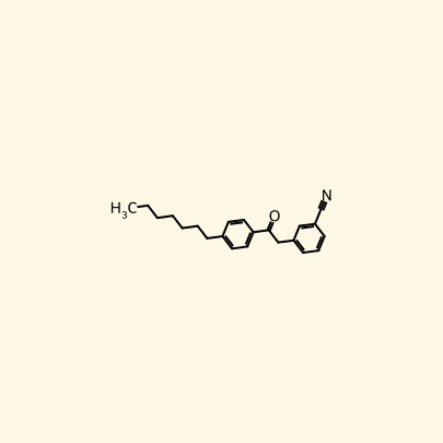 CCCCCCCc1ccc(C(=O)Cc2cccc(C#N)c2)cc1